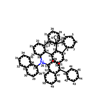 CC1(C)c2ccccc2-c2cccc(-c3c(-c4ccccc4)cccc3N(c3cccc4ccccc34)c3ccc(-c4ccccc4)c4ccccc34)c21